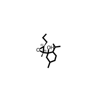 CCC[C@@H]1O[C@@]1(C)C1(O)CC(C)CCC1C(C)C